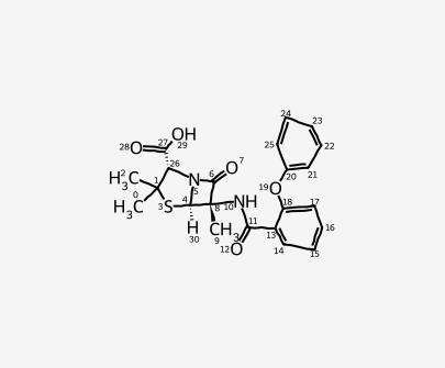 CC1(C)S[C@H]2N(C(=O)[C@]2(C)NC(=O)c2ccccc2Oc2ccccc2)[C@H]1C(=O)O